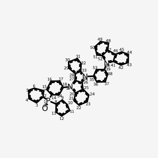 O=P(c1ccccc1)(c1ccccc1)c1cccc(-n2c3ccccc3c3c2c2ccccc2n3-c2cccc(-n3c4ccccc4c4ccccc43)c2)c1